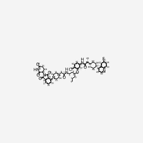 CCCC(CCNC(=O)CN1CCN(c2cccc3c2C(=O)N(C2CCC(=O)NC2=O)C3=O)CC1)Oc1cc(NC(=O)[C@H](C)[C@H]2CC[C@@H](c3ccnc4ccc(F)cc43)CC2)ccc1Cl